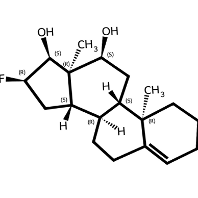 C[C@@]12[C@H](O)[C@H](F)C[C@H]1[C@@H]1CCC3=CCCC[C@]3(C)[C@H]1C[C@@H]2O